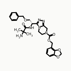 CC(C)(N)C(=O)N[C@H](COCc1ccccc1)c1nnc2n1CCN(C(=O)OCc1cccc3c1OCO3)C2